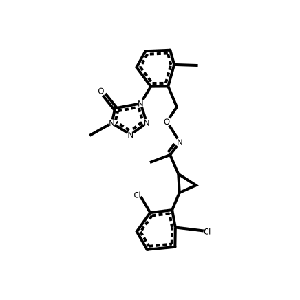 CC(=NOCc1c(C)cccc1-n1nnn(C)c1=O)C1CC1c1c(Cl)cccc1Cl